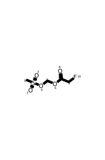 CS(=O)(=O)OCOC(=O)CF